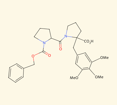 COc1cc(CC2(C(=O)O)CCCN2C(=O)C2CCCN2C(=O)OCc2ccccc2)cc(OC)c1OC